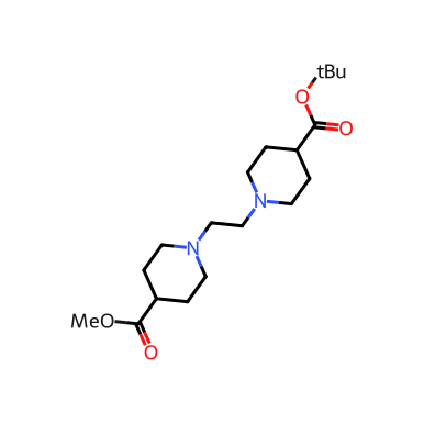 COC(=O)C1CCN(CCN2CCC(C(=O)OC(C)(C)C)CC2)CC1